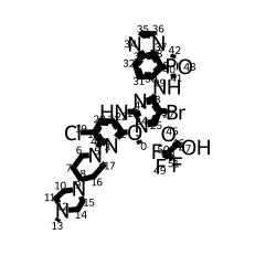 COc1nc(N2CCC(N3CCN(C)CC3)CC2)c(Cl)cc1Nc1ncc(Br)c(Nc2ccc3nccnc3c2P(C)(C)=O)n1.O=C(O)C(F)(F)F